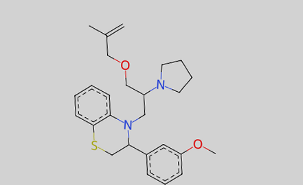 C=C(C)COCC(CN1c2ccccc2SCC1c1cccc(OC)c1)N1CCCC1